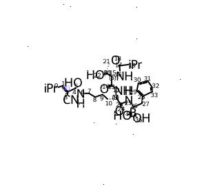 CC(C)/C=C(\C#N)C(O)NCCCC[C@H](NC(=O)[C@@H](NC(=O)C(C)C)[C@@H](C)O)C(=O)NC(Cc1ccccc1)B(O)O